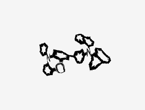 c1ccc(N2c3ccccc3Oc3cc(-c4ccc(N(c5cccc6ccccc56)c5cccc6ccccc56)cc4)ccc32)cc1